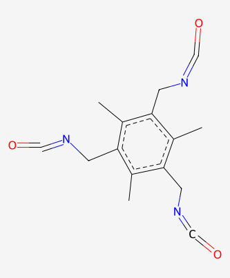 Cc1c(CN=C=O)c(C)c(CN=C=O)c(C)c1CN=C=O